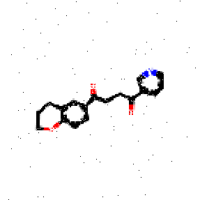 O=C(CCC(=O)c1ccc2c(c1)CCCO2)c1cccnc1